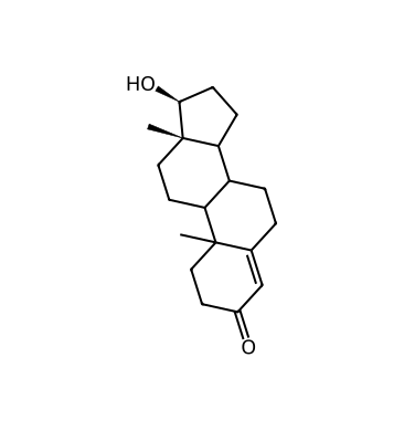 CC12CCC(=O)C=C1CCC1C2CC[C@@]2(C)C1CC[C@@H]2O